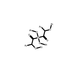 CCOC(C(C)=O)[C](=O)[Ti]([O]C(C)C)([O]C(C)C)[C](=O)C(OCC)C(C)=O